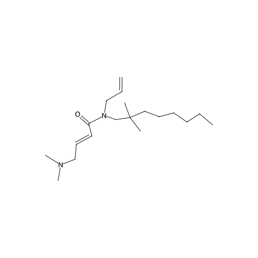 C=CCN(CC(C)(C)CCCCCC)C(=O)/C=C/CN(C)C